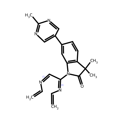 C=C/N=C\C(=N/C=C)N1C(=O)C(C)(C)c2ccc(-c3cnc(C)nc3)cc21